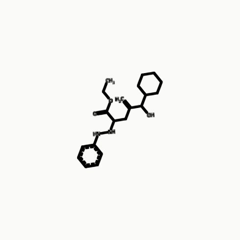 C=C(CC(NNc1ccccc1)C(=O)OCC)C(O)C1CCCCC1